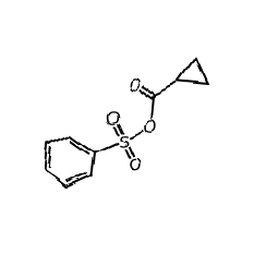 O=C(OS(=O)(=O)c1ccccc1)C1CC1